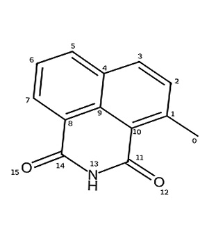 Cc1ccc2cccc3c2c1C(=O)NC3=O